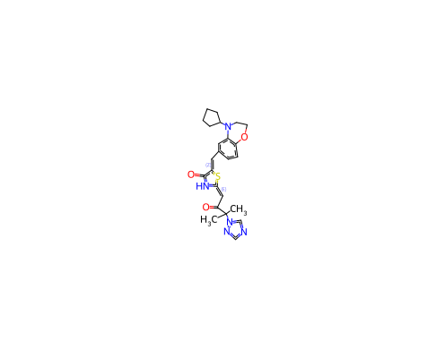 CC(C)(C(=O)/C=c1\[nH]c(=O)/c(=C/c2ccc3c(c2)N(C2CCCC2)CCO3)s1)n1cncn1